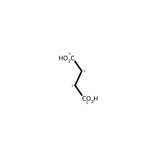 O=C(O)CC[13C](=O)O